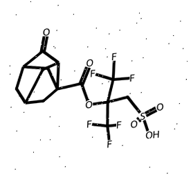 O=C1C2CC3CC1C(C(=O)OC(CS(=O)(=O)O)(C(F)(F)F)C(F)(F)F)(C3)C2